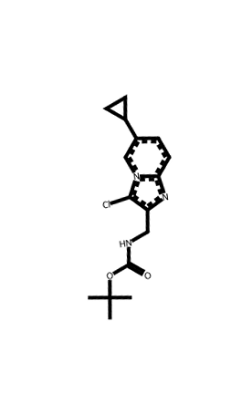 CC(C)(C)OC(=O)NCc1nc2ccc(C3CC3)cn2c1Cl